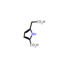 O=C(O)Cc1c[c]c(C(=O)O)[nH]1